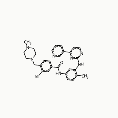 Cc1ccc(NC(=O)c2ccc(CN3CCN(C)CC3)c(Br)c2)cc1Nc1nccc(-c2cccnc2)n1